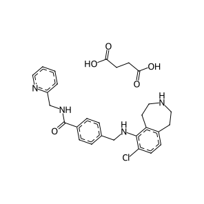 O=C(NCc1ccccn1)c1ccc(CNc2c(Cl)ccc3c2CCNCC3)cc1.O=C(O)CCC(=O)O